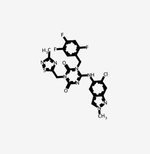 Cc1nsc(Cn2c(=O)nc(Nc3cc4cn(C)nc4cc3Cl)n(Cc3cc(F)c(F)cc3F)c2=O)n1